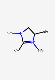 CCCC1=[N+](CCC)C(CCC)CN1CCC